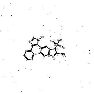 CCn1cnc(-c2ccccc2)c1-c1ccc2nc(N)n(S(=O)(=O)C(C)C)c2c1